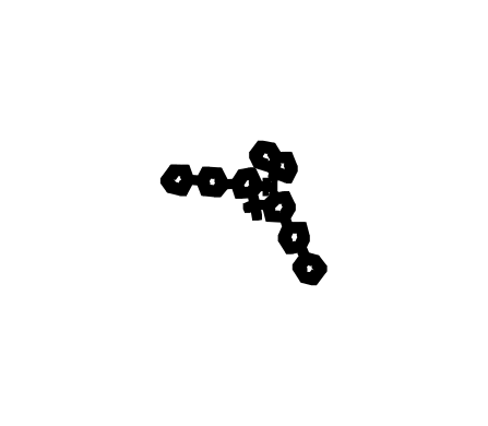 CC1(C)c2cc(-c3ccc(-c4ccccc4)cc3)ccc2N(c2cccc3ccccc23)c2ccc(-c3ccc(-c4ccccc4)cc3)cc21